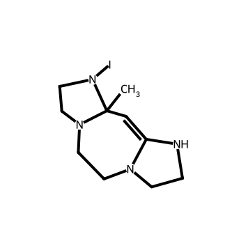 CC12C=C3NCCN3CCN1CCN2I